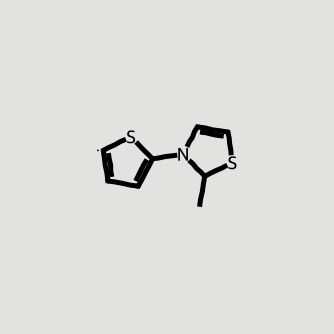 CC1SC=CN1c1cc[c]s1